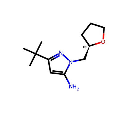 CC(C)(C)c1cc(N)n(C[C@H]2CCCO2)n1